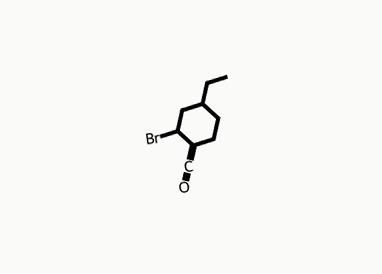 CCC1CCC(=C=O)C(Br)C1